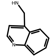 [NH]Cc1ccnc2ccccc12